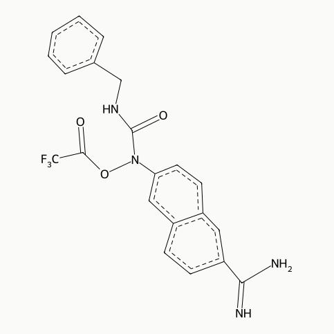 N=C(N)c1ccc2cc(N(OC(=O)C(F)(F)F)C(=O)NCc3ccccc3)ccc2c1